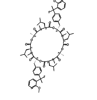 COc1ncccc1C(C)(F)c1ccc(C[C@H]2OC(=O)[C@H](CC(C)C)N(C)C(=O)[C@@H](C)OC(=O)[C@H](CC(C)C)N(C)C(=O)[C@@H](Cc3ccc(C(C)(F)c4cccnc4OC)cc3)OC(=O)[C@H](CC(C)C)N(C)C(=O)[C@@H](C)OC(=O)[C@H](CC(C)C)N(C)C2=O)cc1